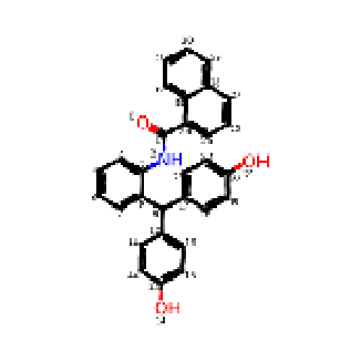 O=C(Nc1ccccc1C(c1ccc(O)cc1)c1ccc(O)cc1)c1cccc2ccccc12